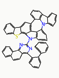 c1ccc(-c2ccccc2-c2nc(-n3c4cccc5c4c4c(cc6c7ccccc7sc6c43)c3cccc4c6ccccc6n5c34)nc3c2ccc2ccccc23)cc1